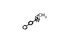 CCn1cc(-c2ccc(C3=CCCC=C3)cc2)nn1